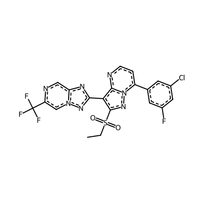 CCS(=O)(=O)c1nn2c(-c3cc(F)cc(Cl)c3)ccnc2c1-c1nc2cnc(C(F)(F)F)cn2n1